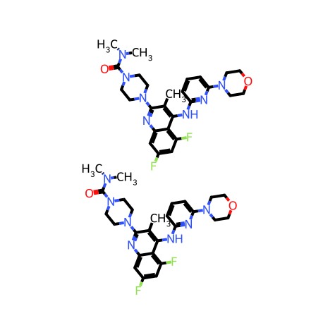 Cc1c(N2CCN(C(=O)N(C)C)CC2)nc2cc(F)cc(F)c2c1Nc1cccc(N2CCOCC2)n1.Cc1c(N2CCN(C(=O)N(C)C)CC2)nc2cc(F)cc(F)c2c1Nc1cccc(N2CCOCC2)n1